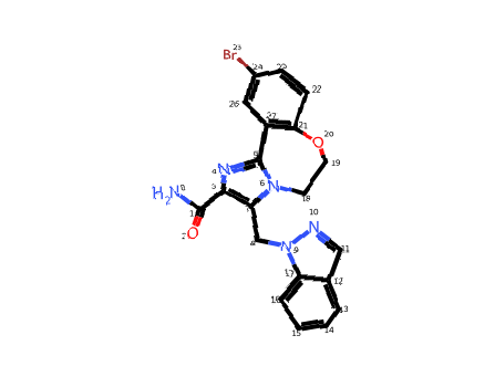 NC(=O)c1nc2n(c1Cn1ncc3ccccc31)CCOc1ccc(Br)cc1-2